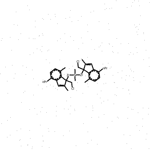 CCCc1ccc(C)c2c1C=C(C)[C]2(CCl)[Zr][Si](C)(C)[Zr][C]1(CCl)C(C)=Cc2c(CCC)ccc(C)c21